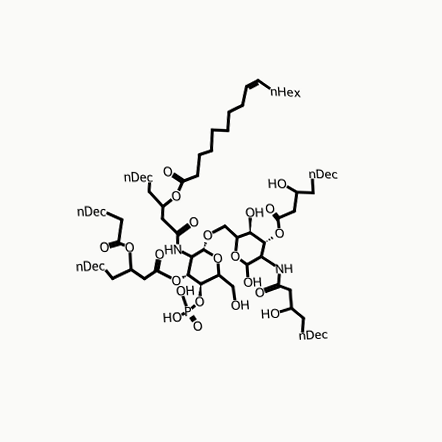 CCCCCC/C=C\CCCCCCCC(=O)OC(CCCCCCCCCCC)CC(=O)NC1[C@H](OCC2OC(O)C(NC(=O)CC(O)CCCCCCCCCCC)[C@@H](OC(=O)CC(O)CCCCCCCCCCC)[C@@H]2O)OC(CO)[C@@H](OP(=O)(O)O)[C@@H]1OC(=O)CC(CCCCCCCCCCC)OC(=O)CCCCCCCCCCC